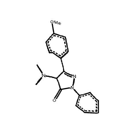 COc1ccc(C2=NN(c3ccccc3)C(=O)C2N(C)C)cc1